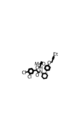 C#CCOC(C(=O)N[C@@H]1CCCC[C@H]1c1ccc(OCC#CCC)c(OC)c1)c1ccc(Cl)c(Cl)c1